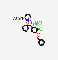 CN[C@H]1CCCN(CC(c2ccc(OCc3ccccc3)c(Cl)c2)C2(O)CCCCC2)C1.Cl.Cl